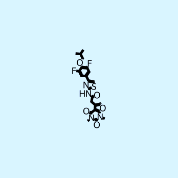 CC(C)COc1c(F)cc(-c2csc(NC(=O)Cc3coc4c3c(=O)n(C)c(=O)n4C)n2)cc1F